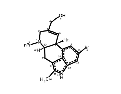 CCCN1CC(CO)=C[C@@H]2c3cc(Br)cc4[nH]c(C)c(c34)C[C@H]21